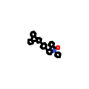 O=c1c2ccccc2c2c(-c3ccc(-c4ccc5c6ccccc6c6ccccc6c5c4)cc3)cccc2n1-c1ccccc1